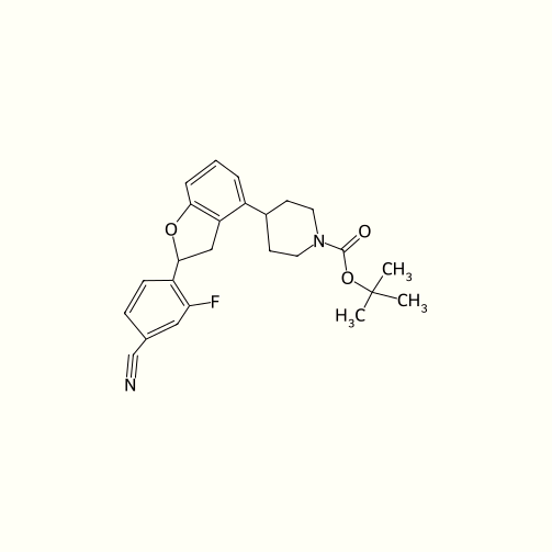 CC(C)(C)OC(=O)N1CCC(c2cccc3c2CC(c2ccc(C#N)cc2F)O3)CC1